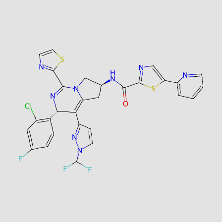 O=C(N[C@H]1CC2=C(c3ccn(C(F)F)n3)[C@H](c3ccc(F)cc3Cl)N=C(c3nccs3)N2C1)c1ncc(-c2ccccn2)s1